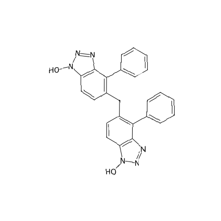 On1nnc2c(-c3ccccc3)c(Cc3ccc4c(nnn4O)c3-c3ccccc3)ccc21